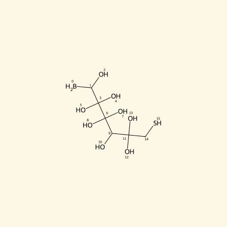 BC(O)C(O)(O)C(O)(O)C(O)C(O)(O)CS